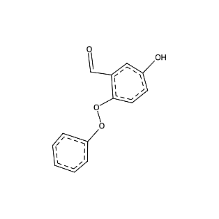 O=Cc1cc(O)ccc1OOc1ccccc1